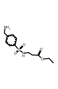 CCOC(=O)CCNS(=O)(=O)c1ccc(CN)cc1